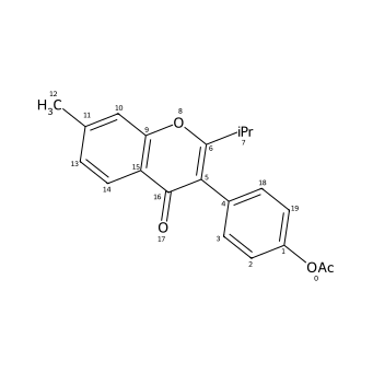 CC(=O)Oc1ccc(-c2c(C(C)C)oc3cc(C)ccc3c2=O)cc1